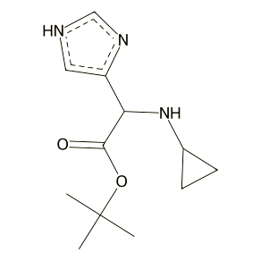 CC(C)(C)OC(=O)C(NC1CC1)c1c[nH]cn1